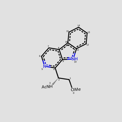 COC[C@H](NC(C)=O)c1nccc2c1[nH]c1ccccc12